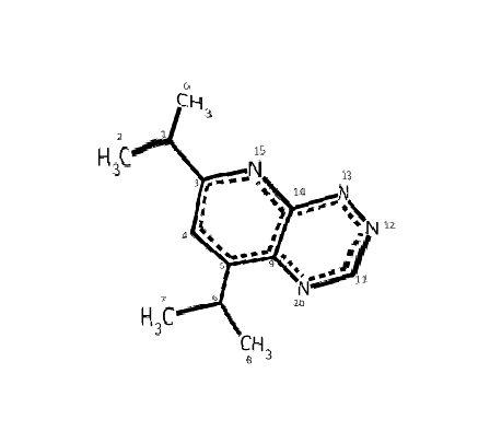 CC(C)c1cc(C(C)C)c2ncnnc2n1